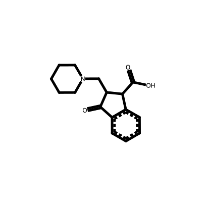 O=C1c2ccccc2C(C(=O)O)C1CN1CCCCC1